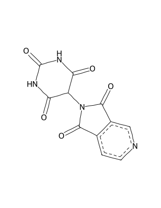 O=C1NC(=O)C(N2C(=O)c3ccncc3C2=O)C(=O)N1